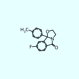 Cc1ccc(C23OCCN2C(=O)c2ccc(F)cc23)cc1